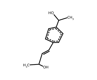 CC(O)C=Cc1ccc(C(C)O)cc1